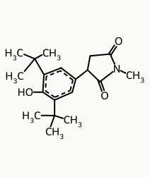 CN1C(=O)CC(c2cc(C(C)(C)C)c(O)c(C(C)(C)C)c2)C1=O